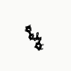 CN(C(=O)On1ccc(-c2cccs2)n1)c1ccccc1